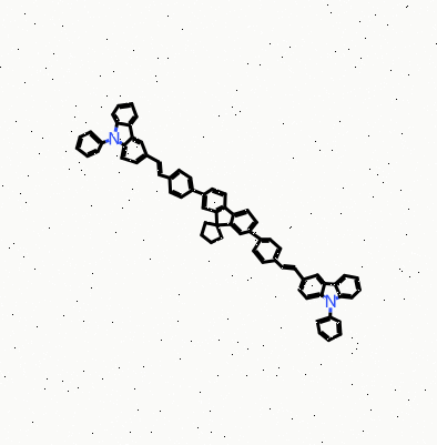 C(=C\c1ccc2c(c1)c1ccccc1n2-c1ccccc1)/c1ccc(-c2ccc3c(c2)C2(CCCC2)c2cc(-c4ccc(/C=C/c5ccc6c(c5)c5ccccc5n6-c5ccccc5)cc4)ccc2-3)cc1